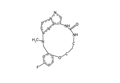 CN1Cc2cc(F)ccc2OCCCNC(=O)Nc2cnn3ccc1nc23